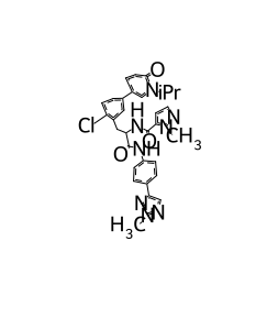 CC(C)n1cc(-c2ccc(Cl)c(CC(NC(=O)c3ccnn3C)C(=O)Nc3ccc(-c4cnn(C)n4)cc3)c2)ccc1=O